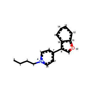 CCCC[n+]1ccc(-c2coc3ccccc23)cc1